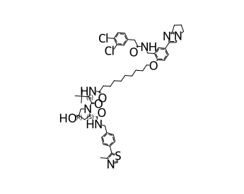 Cc1ncsc1-c1ccc(CNC(=O)[C@@H]2C[C@@H](O)CN2C(=O)[C@@H](NC(=O)CCCCCCCCCOc2ccc(-c3cn4c(n3)CCC4)cc2CNC(=O)Cc2ccc(Cl)c(Cl)c2)C(C)(C)C)cc1